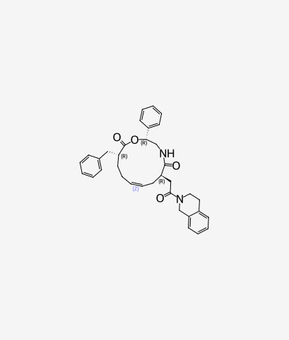 O=C1NC[C@@H](c2ccccc2)OC(=O)[C@@H](Cc2ccccc2)CC/C=C\C[C@@H]1CC(=O)N1CCc2ccccc2C1